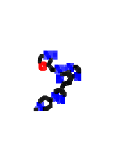 CN1CCC(n2cc(-c3cc4nccnc4c(NC[C@@H]4CNCCO4)n3)cn2)CC1